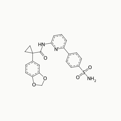 NS(=O)(=O)c1ccc(-c2cccc(NC(=O)C3(c4ccc5c(c4)OCO5)CC3)n2)cc1